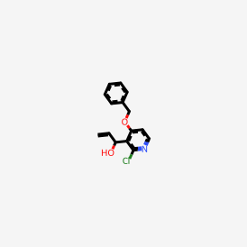 C=CC(O)c1c(OCc2ccccc2)ccnc1Cl